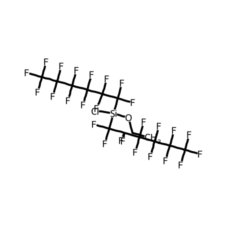 CCO[Si](Cl)(C(F)(F)C(F)(F)C(F)(F)C(F)(F)C(F)(F)C(F)(F)F)C(F)(F)C(F)(F)C(F)(F)C(F)(F)C(F)(F)C(F)(F)F